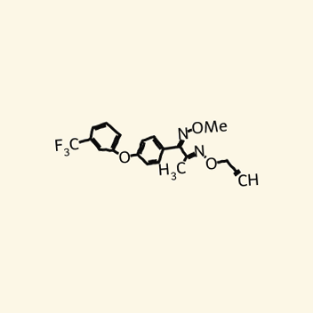 C#CCO/N=C(C)/C(=N\OC)c1ccc(Oc2cccc(C(F)(F)F)c2)cc1